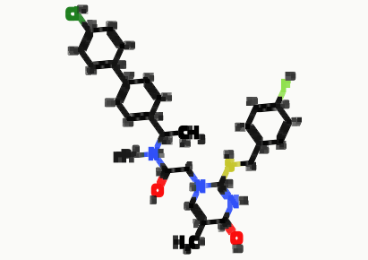 CCCN(C(=O)Cn1cc(C)c(=O)nc1SCc1ccc(F)cc1)C(C)c1ccc(-c2ccc(Cl)cc2)cc1